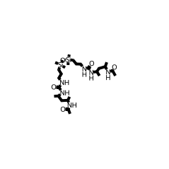 CC(=O)NC(C)CC(C)NC(=O)NCCC[Si](C)(C)O[Si](C)(C)CCCNC(=O)NC(C)CC(C)NC(C)=O